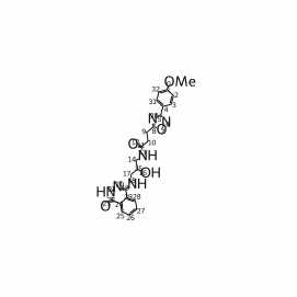 COc1ccc(-c2noc(CCC(=O)NCC(O)CNc3n[nH]c(=O)c4ccccc34)n2)cc1